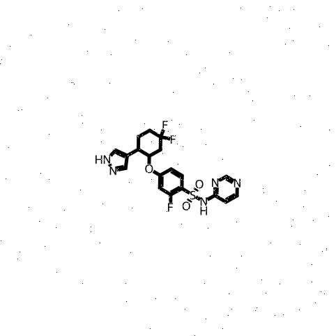 O=S(=O)(Nc1ccncn1)c1ccc(OC2CC(F)(F)CCC2c2cn[nH]c2)cc1F